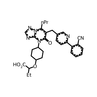 CCCc1c(Cc2ccc(-c3ccccc3C#N)nc2)c(=O)n(C2CCC(OC(CC)C(=O)O)CC2)c2ncnn12